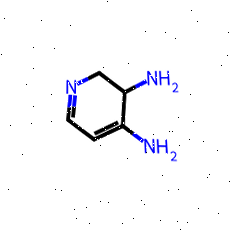 NC1=CC=NCC1N